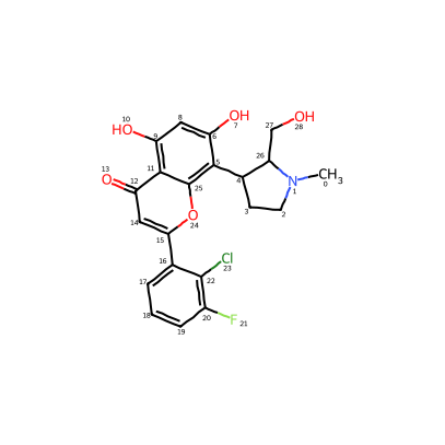 CN1CCC(c2c(O)cc(O)c3c(=O)cc(-c4cccc(F)c4Cl)oc23)C1CO